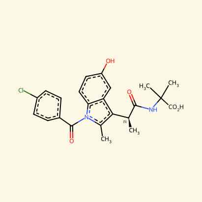 Cc1c([C@H](C)C(=O)NC(C)(C)C(=O)O)c2cc(O)ccc2n1C(=O)c1ccc(Cl)cc1